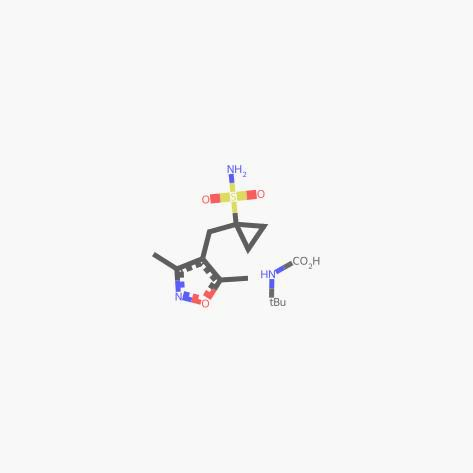 CC(C)(C)NC(=O)O.Cc1noc(C)c1CC1(S(N)(=O)=O)CC1